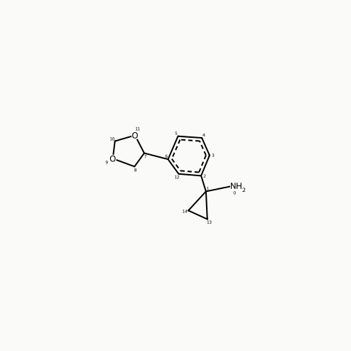 NC1(c2cccc(C3COCO3)c2)CC1